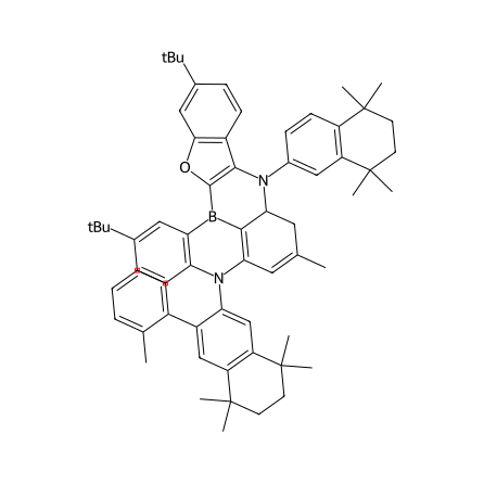 CC1=CC2=C3B(c4cc(C(C)(C)C)ccc4N2c2cc4c(cc2-c2ccccc2C)C(C)(C)CCC4(C)C)c2oc4cc(C(C)(C)C)ccc4c2N(c2ccc4c(c2)C(C)(C)CCC4(C)C)C3C1